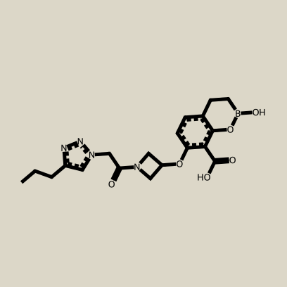 CCCc1cn(CC(=O)N2CC(Oc3ccc4c(c3C(=O)O)OB(O)CC4)C2)nn1